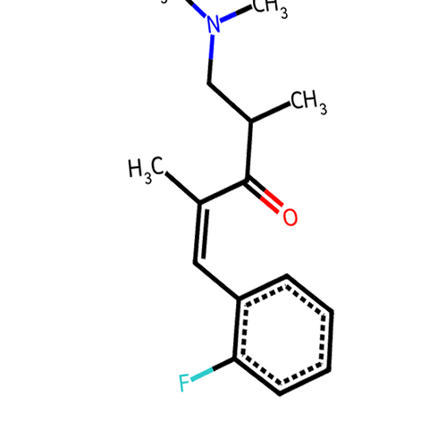 CC(=Cc1ccccc1F)C(=O)C(C)CN(C)C